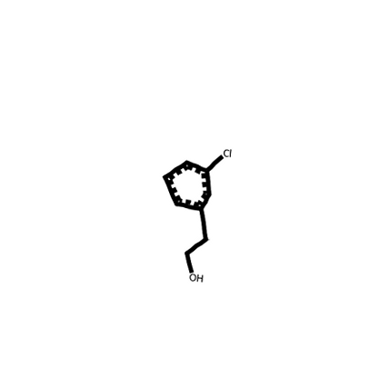 OC[CH]c1cccc(Cl)c1